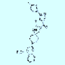 Cc1ccc(-n2ncc3c(=O)n(CC4(O)CCN(C(=O)C[C@H](c5ccccc5)C(F)(F)F)CC4)cnc32)cc1